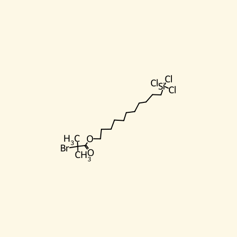 CC(C)(Br)C(=O)OCCCCCCCCCCC[Si](Cl)(Cl)Cl